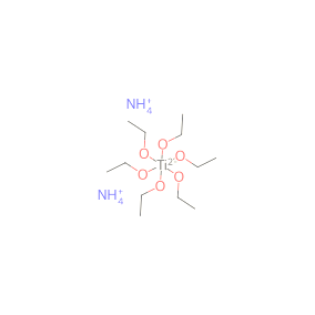 CC[O][Ti-2]([O]CC)([O]CC)([O]CC)([O]CC)[O]CC.[NH4+].[NH4+]